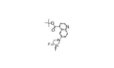 CC(C)(C)OC(=O)c1ccnc2ccc(N3C[C@@H](F)[C@H](F)C3)cc12